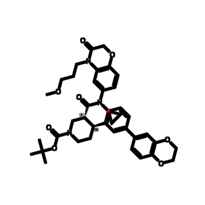 COCCCN1C(=O)COc2ccc(N(C(=O)[C@H]3CN(C(=O)OC(C)(C)C)CC[C@@H]3c3cccc(-c4ccc5c(c4)OCCO5)c3)C3CC3)cc21